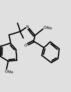 COC(=NC(C)(C)Cc1ccc(OC)cc1)C(=O)c1ccccc1